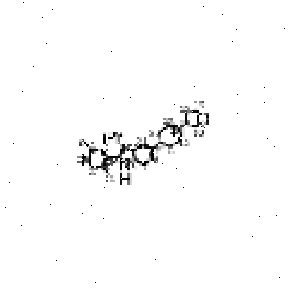 Cc1cc(-c2[nH]c3ccc(C4CCN(C5CCOC5)CC4)cc3c2C(C)C)c(C)cn1